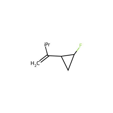 C=C(C(C)C)C1CC1F